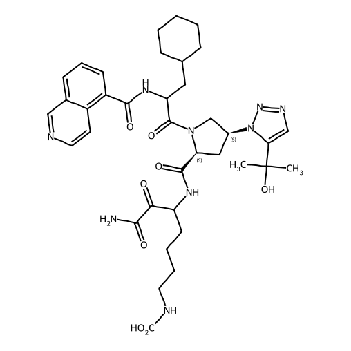 CC(C)(O)c1cnnn1[C@H]1C[C@@H](C(=O)NC(CCCCNC(=O)O)C(=O)C(N)=O)N(C(=O)C(CC2CCCCC2)NC(=O)c2cccc3cnccc23)C1